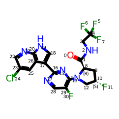 O=C(NCC(F)(F)F)[C@H]1C[C@H](F)CN1c1nc(-c2c[nH]c3ncc(Cl)cc23)ncc1F